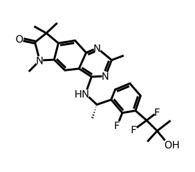 Cc1nc(N[C@@H](C)c2cccc(C(F)(F)C(C)(C)O)c2F)c2cc3c(cc2n1)C(C)(C)C(=O)N3C